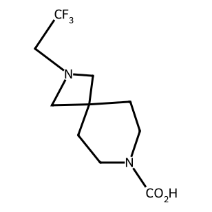 O=C(O)N1CCC2(CC1)CN(CC(F)(F)F)C2